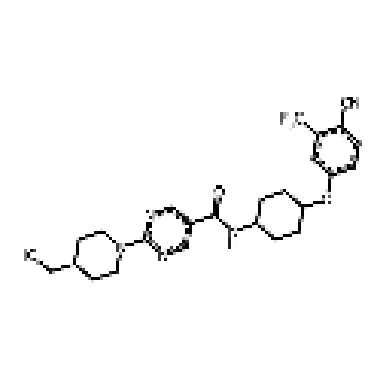 N#Cc1ccc(OC2CCC(NC(=O)c3cnc(N4CCC(CO)CC4)nc3)CC2)cc1C(F)(F)F